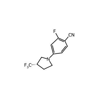 N#Cc1ccc(N2CC[C@H](C(F)(F)F)C2)cc1F